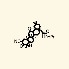 CC(C)NC(=O)CC[C@]12CCC(C)(C)C[C@@H]1C1C(=O)C=C3[C@@]4(C)C=C(C#N)C(=O)C(C)(C)[C@@H]4CC[C@@]3(C)[C@]1(C)CC2